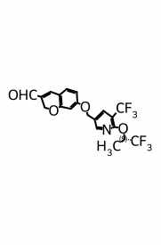 C[C@H](Oc1ncc(COc2ccc3c(c2)OCC(C=O)=C3)cc1C(F)(F)F)C(F)(F)F